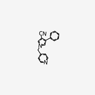 N#Cc1cn(Cc2ccncc2)cc1-c1ccccc1